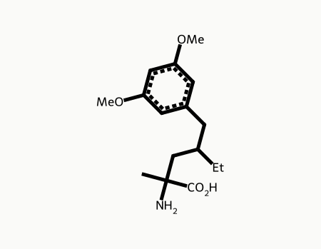 CCC(Cc1cc(OC)cc(OC)c1)CC(C)(N)C(=O)O